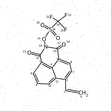 C=Cc1ccc2c3c(cccc13)C(=O)N(OS(=O)(=O)C(F)(F)F)C2=O